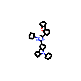 CC(NC(NNc1ccccc1)c1ccc2c(c1)c1ccccc1n2-c1ccccc1)c1cccc2c1oc1ccccc12